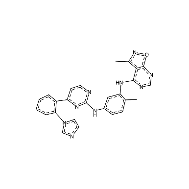 Cc1ccc(Nc2nccc(-c3ccccc3-n3ccnc3)n2)cc1Nc1ncnc2onc(C)c12